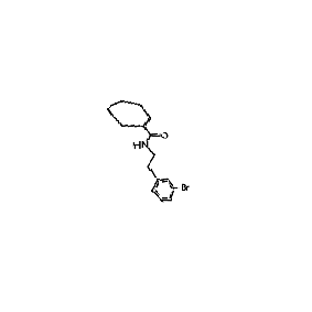 O=C(NCCc1cccc(Br)c1)C1CCCCC1